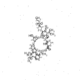 C/C=C/S(=O)(=O)N1CC[C@H](C(=O)N(C)C(C(=O)N[C@H]2Cc3cc(O)cc(c3)-c3ccc4c(c3)c(c(-c3cccnc3[C@H](C)OC)n4CC)CC(C)(C)COC(=O)[C@@H]3CCCN(N3)C2=O)C(C)C)C1